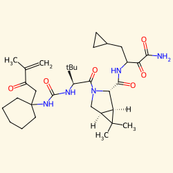 C=C(C)C(=O)CC1(NC(=O)N[C@H](C(=O)N2C[C@H]3[C@@H]([C@H]2C(=O)NC(CC2CC2)C(=O)C(N)=O)C3(C)C)C(C)(C)C)CCCCC1